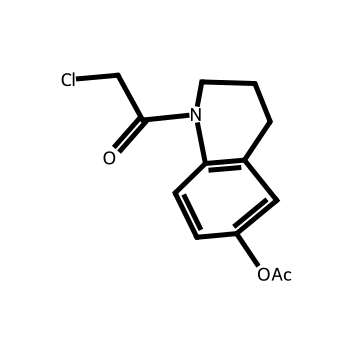 CC(=O)Oc1ccc2c(c1)CCCN2C(=O)CCl